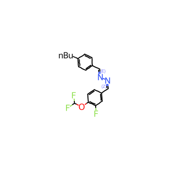 CCCCc1ccc(/C=N/N=C\c2ccc(OC(F)F)c(F)c2)cc1